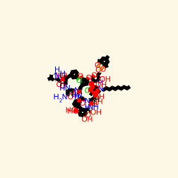 CCCCCCCCCCNC1(C)CC(OC2C(Oc3c4cc5cc3Oc3ccc(cc3Cl)[C@@H](O)[C@@H](NC(=O)[C@H](CC(C)C)NC)C(=O)N[C@@H](CC(N)=O)C(=O)N[C@H]5C(=O)N[C@H]3C(=O)N[C@H](C(=O)N[C@@H](C(=O)O)c5cc(O)cc(O)c5-c5cc3ccc5O)[C@H](O)c3ccc(c(Cl)c3)O4)OC(COS(=O)(=O)c3c(C)cc(C)cc3C)C(O)C2O)OC(C)C1O